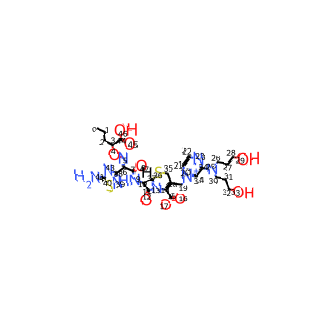 CCCC(O/N=C(/C(=O)NC1C(=O)N2C(C(=O)[O-])=C(C[n+]3ccnc(N(CCCO)CCCO)c3)CS[C@H]12)c1nsc(N)n1)C(=O)O